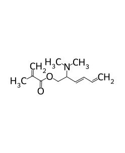 C=CC=CC(COC(=O)C(=C)C)N(C)C